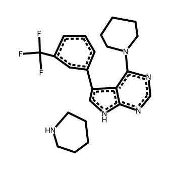 C1CCNCC1.FC(F)(F)c1cccc(-c2c[nH]c3ncnc(N4CCCCC4)c23)c1